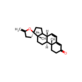 C=C1CC[C@@]2(CC[C@H]3[C@@H]4C=CC5=CC(=O)CC[C@]5(C)[C@H]4CC[C@@]32C)O1